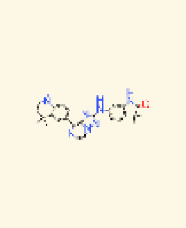 CN1CCC(C)(C)c2cc(-c3nccn4nc(Nc5ccc6c(c5)NC(=O)C6(C)C)nc34)ccc21